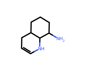 NC1CCCC2CC=CNC12